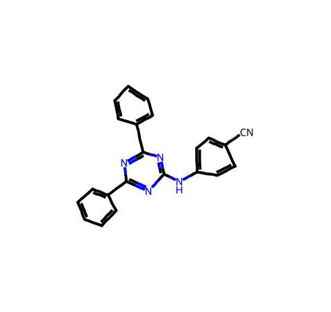 N#Cc1ccc(Nc2nc(-c3ccccc3)nc(-c3ccccc3)n2)cc1